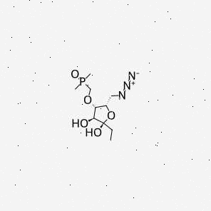 CC[C@@]1(O)O[C@@H](CN=[N+]=[N-])[C@@H](OCP(C)(C)=O)[C@@H]1O